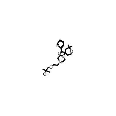 CC(C)(O)COCCN1CCN(C2(C(=O)c3ccccn3)CCOC(C)(C)C2)CC1